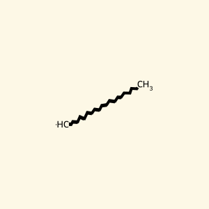 [CH]=C/C=C/C=C/C=C/C=C/C=C/C=C/C=C/CCCCC